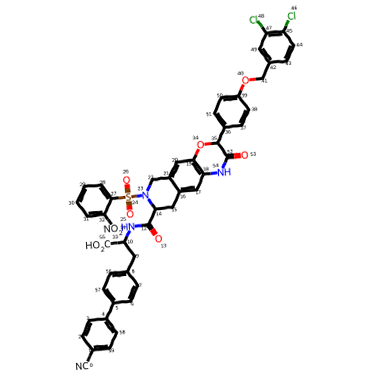 N#Cc1ccc(-c2ccc(CC(NC(=O)C3Cc4cc5c(cc4CN3S(=O)(=O)c3ccccc3[N+](=O)[O-])OC(c3ccc(OCc4ccc(Cl)c(Cl)c4)cc3)C(=O)N5)C(=O)O)cc2)cc1